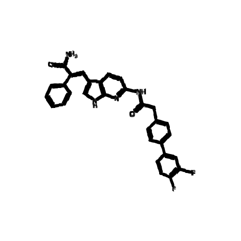 NC(=O)/C(=C/c1c[nH]c2nc(NC(=O)Cc3ccc(-c4ccc(F)c(F)c4)cc3)ccc12)c1ccccc1